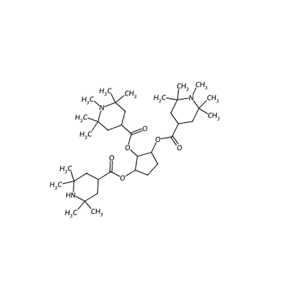 CN1C(C)(C)CC(C(=O)OC2CCC(OC(=O)C3CC(C)(C)NC(C)(C)C3)C2OC(=O)C2CC(C)(C)N(C)C(C)(C)C2)CC1(C)C